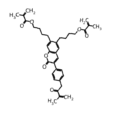 C=C(C)C(=O)Cc1ccc(-c2cc3cc(CCCCOC(=O)C(=C)C)c(CCCCOC(=O)C(=C)C)cc3oc2=O)cc1